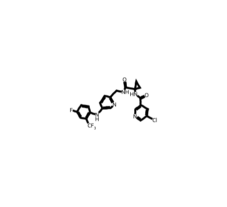 O=C(NC1(C(=O)NCc2ccc(Nc3ccc(F)cc3C(F)(F)F)cn2)CC1)c1cncc(Cl)c1